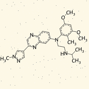 COc1cc(OC)c(C)c(N(CCNC(C)C)c2ccc3ncc(-c4cnn(C)c4)nc3c2)c1